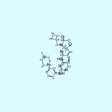 CN1CCN(c2cccc(Nc3ncc(F)c(Nc4ccc5c(n4)N(CC4CCC4)C(=O)CO5)n3)c2)CC1